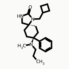 CCCN(C)[C@]1(c2ccccc2)CC[C@]2(CC1)CNC(=O)N2CC1CCC1